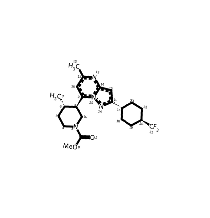 COC(=O)N1CC[C@H](C)[C@@H](c2cc(C)nc3cc([C@H]4CC[C@H](C(F)(F)F)CC4)nn23)C1